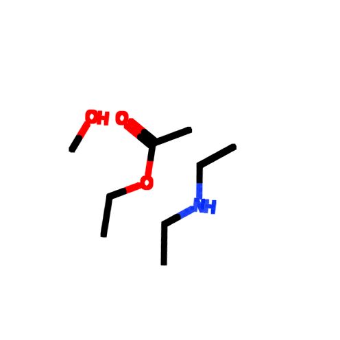 CCNCC.CCOC(C)=O.CO